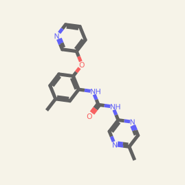 Cc1ccc(Oc2cccnc2)c(NC(=O)Nc2cnc(C)cn2)c1